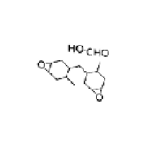 CC1CC2OC2CC1CC1CC2OC2CC1C.O=CO